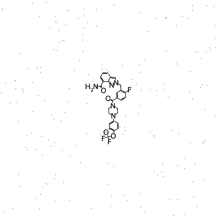 NC(=O)c1cccc2cn(Cc3cc(C(=O)N4CCN(c5ccc6c(c5)OC(F)(F)O6)CC4)ccc3F)nc12